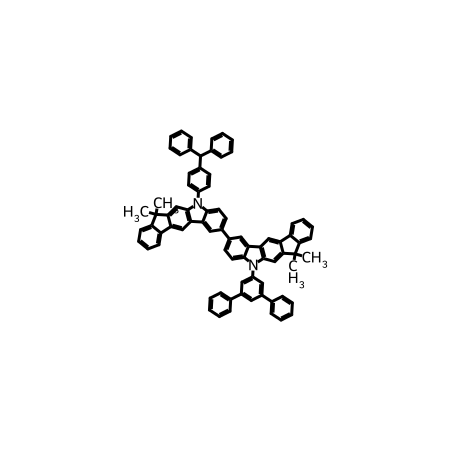 CC1(C)c2ccccc2-c2cc3c4cc(-c5ccc6c(c5)c5cc7c(cc5n6-c5cc(-c6ccccc6)cc(-c6ccccc6)c5)C(C)(C)c5ccccc5-7)ccc4n(-c4ccc(C(c5ccccc5)c5ccccc5)cc4)c3cc21